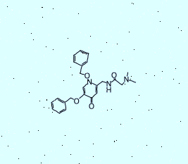 CN(C)CC(=O)NCc1cc(=O)c(OCc2ccccc2)cn1OCc1ccccc1